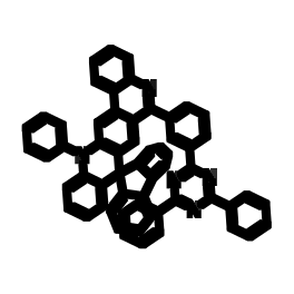 c1ccc(-c2nc(-c3ccccc3)nc(-c3cccc(-c4nc5ccccc5c5cc6c(cc45)C4(c5ccccc5-c5ccccc54)c4ccccc4N6c4ccccc4)c3)n2)cc1